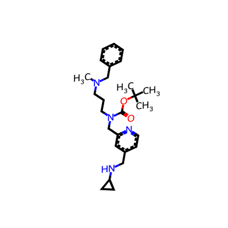 CN(CCCN(Cc1cc(CNC2CC2)ccn1)C(=O)OC(C)(C)C)Cc1ccccc1